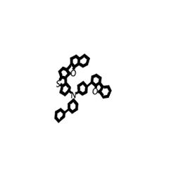 c1ccc(-c2cccc(N(c3ccc(-c4cccc5c4oc4ccccc45)cc3)c3ccc4sc5ccc6c7ccc8ccccc8c7oc6c5c4c3)c2)cc1